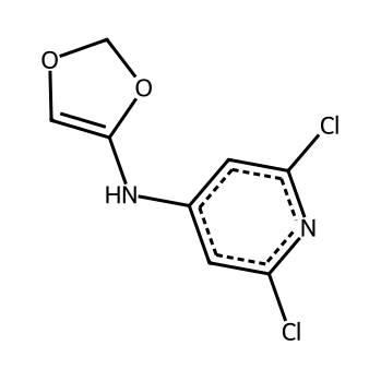 Clc1cc(NC2=COCO2)cc(Cl)n1